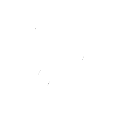 CCOC(C=CCCCCCCCCC=O)OC(C=CCCCCCCCCC=O)OCC